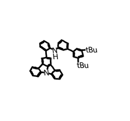 CC(C)(C)c1cc(-c2cccc(Nc3ccccc3-c3cc4c5ccccc5n5c6ccccc6c(c3)c45)c2)cc(C(C)(C)C)c1